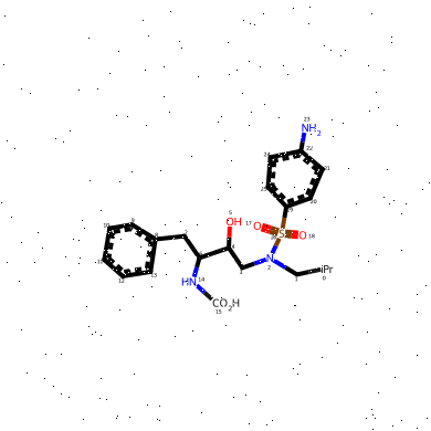 CC(C)CN(CC(O)C(Cc1ccccc1)NC(=O)O)S(=O)(=O)c1ccc(N)cc1